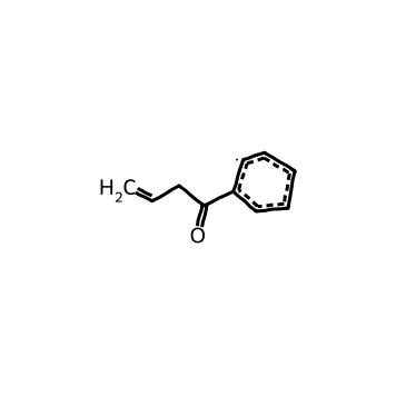 C=CCC(=O)c1[c]cccc1